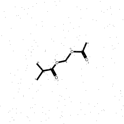 CC(=O)OCOC(=O)C(C)C